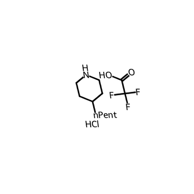 CCCCCC1CCNCC1.Cl.O=C(O)C(F)(F)F